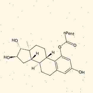 CCCCCC(=O)Oc1cc(O)cc2c1[C@H]1CC[C@]3(C)[C@@H](O)[C@H](O)C[C@H]3[C@@H]1CC2